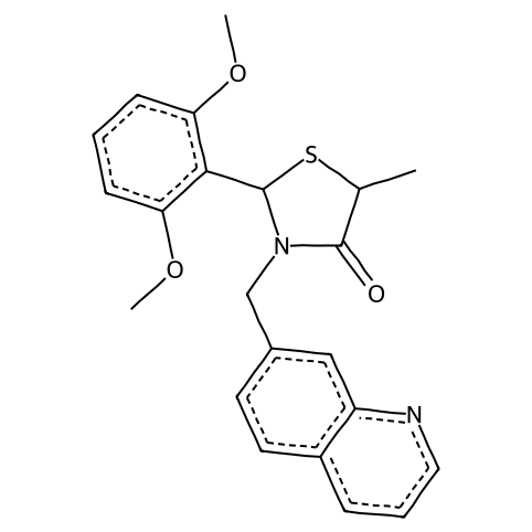 COc1cccc(OC)c1C1SC(C)C(=O)N1Cc1ccc2cccnc2c1